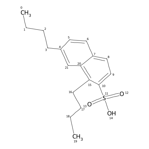 CCCCc1ccc2ccc(S(=O)(=O)O)c(CCCC)c2c1